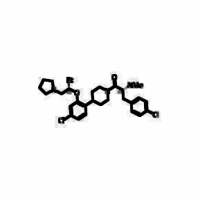 CC[C@@H](CN1CCCC1)Oc1cc(Cl)ccc1C1CCN(C(=O)[C@@H](Cc2ccc(Cl)cc2)NC)CC1